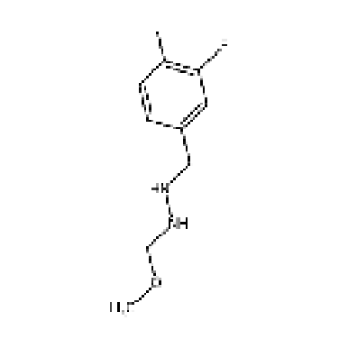 COCNNCc1ccc(I)c(F)c1